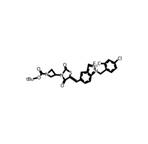 CC(C)(C)OC(=O)N1CC(N2C(=O)SC(=Cc3ccc4c(cnn4Cc4ccc(Cl)cc4C(F)(F)F)c3)C2=O)C1